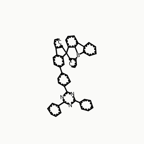 c1ccc(-c2nc(-c3ccccc3)nc(-c3ccc(-c4ccc5c(c4)C4(c6ccccc6B6c7ccccc7-c7cccc4c76)c4ccccc4-5)cc3)n2)cc1